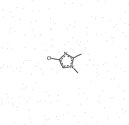 Cc1nc(Cl)cn1C